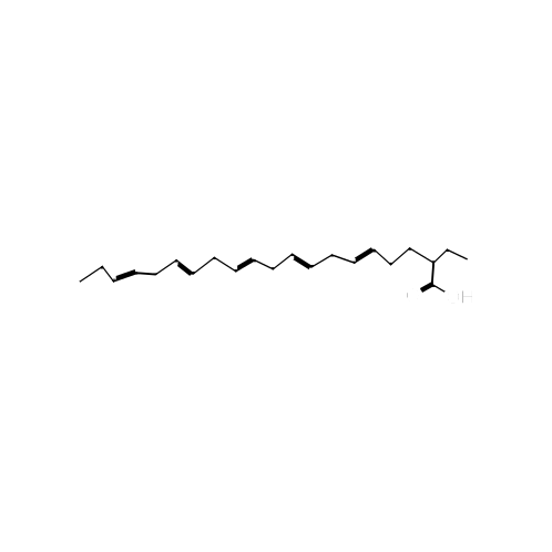 CCC=CCC=CCC=CCC=CCC=CCCC(CC)C(=O)O